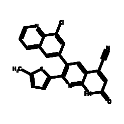 Cc1ccc(-c2nc3[nH]c(=O)cc(C#N)c3cc2-c2cc(Cl)c3ncccc3c2)s1